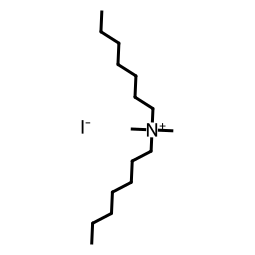 CCCCCCC[N+](C)(C)CCCCCCC.[I-]